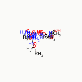 C=CC(CCCCCCC)OCC(=O)NCCCC[C@@H](N)C(=O)N[C@H](C(=O)N[C@@H](CCCNC(N)=O)C(=O)Nc1ccc(COC(=O)N[C@@H](CO)C(=O)Nc2ccc3c(c2)[C@@]2(C)CCC[C@](C)(C(=O)NC(=O)[C@@]4(C)CCC[C@]5(C)c6cc(O)ccc6CC[C@@H]45)[C@@H]2CC3)cc1)C(C)C